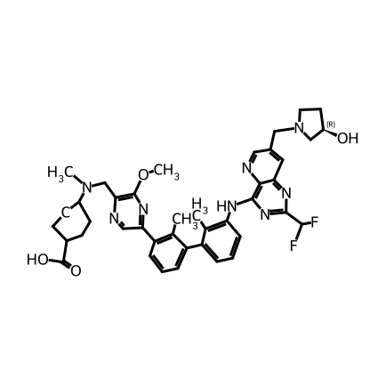 COc1nc(-c2cccc(-c3cccc(Nc4nc(C(F)F)nc5cc(CN6CC[C@@H](O)C6)cnc45)c3C)c2C)cnc1CN(C)C1CCC(C(=O)O)CC1